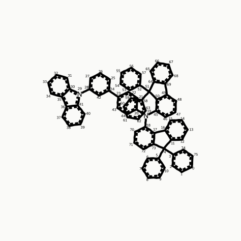 c1ccc(C2(c3ccccc3)c3ccccc3-c3c(N(c4ccc(-c5cccc(-n6c7ccccc7c7ccccc76)c5)cc4)c4cccc5c4C(c4ccccc4)(c4ccccc4)c4ccccc4-5)cccc32)cc1